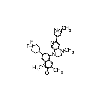 Cc1cc2c(N3CCN(C)c4cc(-c5cnn(C)c5)ncc43)cc(C3CCC(F)(F)CC3)cc2n(C)c1=O